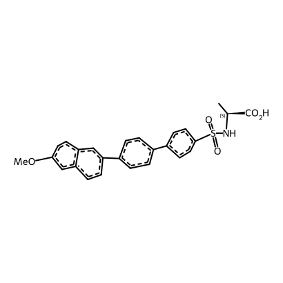 COc1ccc2cc(-c3ccc(-c4ccc(S(=O)(=O)N[C@@H](C)C(=O)O)cc4)cc3)ccc2c1